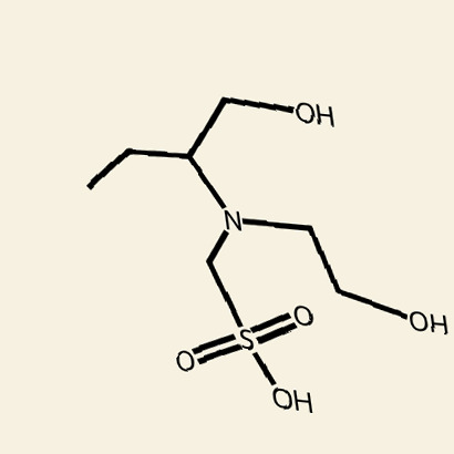 CCC(CO)N(CCO)CS(=O)(=O)O